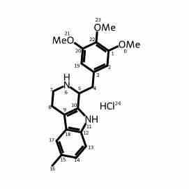 COc1cc(CC2NCCc3c2[nH]c2ccc(C)cc32)cc(OC)c1OC.Cl